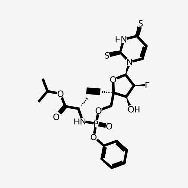 C#C[C@]1(COP(=O)(N[C@@H](C)C(=O)OC(C)C)Oc2ccccc2)O[C@@H](n2ccc(=S)[nH]c2=S)[C@@H](F)[C@H]1O